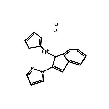 C1=CC[C]([Hf+2][CH]2C(n3cccp3)=Cc3ccccc32)=C1.[Cl-].[Cl-]